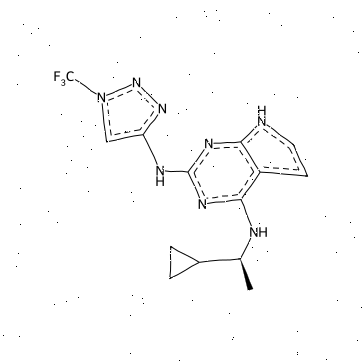 C[C@H](Nc1nc(Nc2cn(C(F)(F)F)nn2)nc2[nH]ccc12)C1CC1